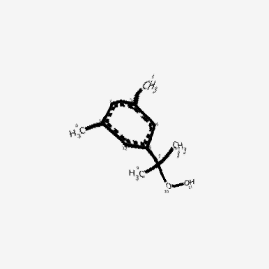 Cc1cc(C)cc(C(C)(C)OO)c1